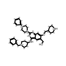 OCc1cc2c(NC3CCN(Cc4ccccc4)CC3)nc(N3CCN(c4ccccc4)CC3)nc2cc1OCC1CCNCC1